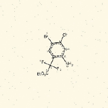 CCOC(=O)C(F)(F)c1cc(Br)c(Cl)nc1N